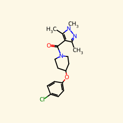 Cc1nn(C)c(C)c1C(=O)N1CCC(Oc2ccc(Cl)cc2)CC1